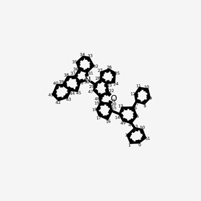 c1ccc(-c2cc(-c3ccccc3)cc(-c3cccc4c3oc3c5ccccc5c(-n5c6ccccc6c6cc7ccccc7cc65)cc43)c2)cc1